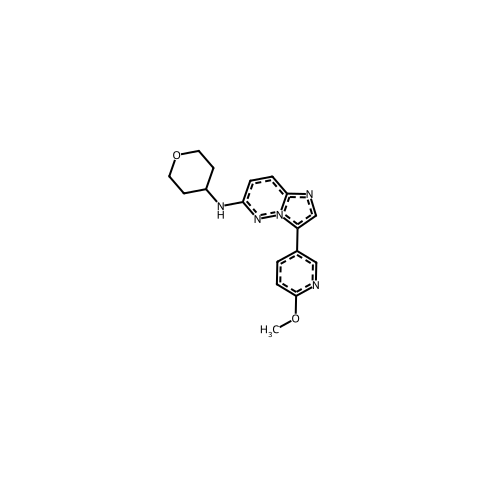 COc1ccc(-c2cnc3ccc(NC4CCOCC4)nn23)cn1